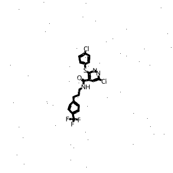 O=C(NCCCc1ccc(C(F)(F)F)cc1)c1cc(Cl)nnc1Sc1ccc(Cl)cc1